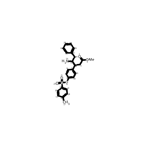 COC(=O)CC(c1ccc(OS(=O)(=O)c2ccc(C)cc2)cc1)C(N)Cc1ccccc1